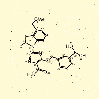 COCc1cccc2c1CC(C)N2c1nnc(C(N)=O)c(NCc2cccc(B(O)O)c2)n1